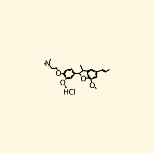 C/C=C/c1cc(OC)c2c(c1)C(C)C(c1ccc(OCCN(C)C)c(OC)c1)O2.Cl